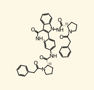 NC(=O)c1c(-c2ccc(NC(=O)[C@@H]3CCCN3C(=O)Cc3ccccc3)cc2)n(NC(=O)[C@@H]2CCCN2C(=O)Cc2ccccc2)c2ccccc12